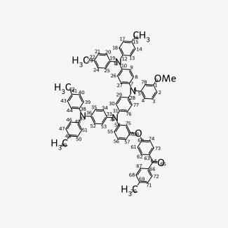 COc1cccc(N(c2ccc(N(c3ccc(C)cc3)c3ccc(C)cc3)cc2)c2ccc(N(c3ccc(N(c4ccc(C)cc4)c4ccc(C)cc4)cc3)c3cccc(Oc4ccc(C(=O)c5ccc(C)cc5)cc4)c3)cc2)c1